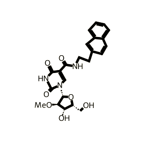 CO[C@@H]1[C@@H](O)[C@@H](CO)O[C@H]1n1cc(C(=O)NCCc2ccc3ccccc3c2)c(=O)[nH]c1=O